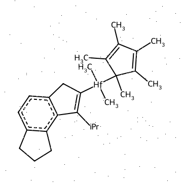 CC1=C(C)[C](C)([Hf]([CH3])([CH3])[C]2=C(C(C)C)c3c(ccc4c3CCC4)C2)C(C)=C1C